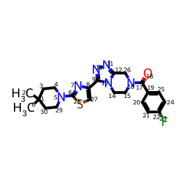 CC1(C)CCN(c2nc(-c3nnc4n3CCN(C(=O)c3ccc(F)cc3)C4)cs2)CC1